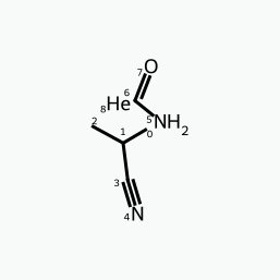 CC(C)C#N.NC=O.[He]